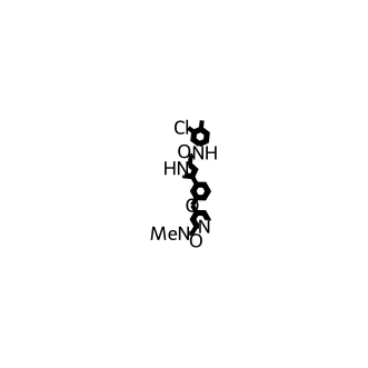 CNC(=O)c1cc(Oc2cccc(-c3c[nH]c(C(=O)Nc4ccc(C)c(Cl)c4)c3)c2)ccn1